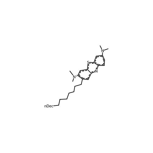 CCCCCCCCCCCCCCCCCc1cc2nc3ccc(N(C)C)cc3sc-2cc1=[N+](C)C